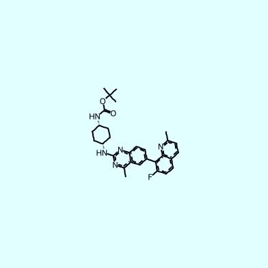 Cc1ccc2ccc(F)c(-c3ccc4nc(N[C@H]5CC[C@@H](NC(=O)OC(C)(C)C)CC5)nc(C)c4c3)c2n1